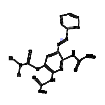 CCN(CC)C(=O)Oc1cc(/N=N/c2ccccc2)c(NC(=O)OC)nc1NC(=O)OC